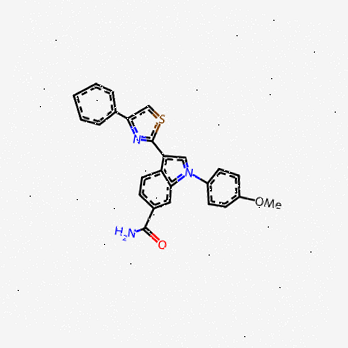 COc1ccc(-n2cc(-c3nc(-c4ccccc4)cs3)c3ccc(C(N)=O)cc32)cc1